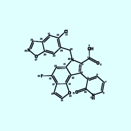 O=C(O)c1c(-c2ccc[nH]c2=O)c2c3occc3c(F)cc2n1Cc1cc2oncc2cc1Cl